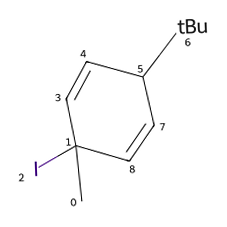 CC1(I)C=CC(C(C)(C)C)C=C1